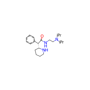 CC(C)N(CCNC(=O)C(c1ccccc1)[C@H]1CCCCN1)C(C)C